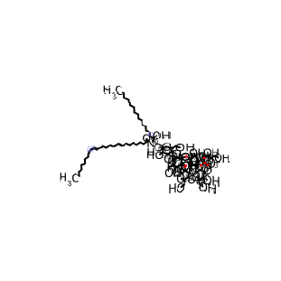 CCCCCCCC/C=C\CCCCCCCCCCCCCC(=O)N[C@@H](CO[C@@H]1OC(CO)[C@@H](O[C@@H]2OC(CO)[C@H](O[C@@H]3OC(CO)[C@H](O)[C@H](O[C@@H]4OC(CO)[C@H](O)[C@H](O[C@@H]5OC(CO)[C@H](O)[C@H](O)C5O[C@H]5OC(C)[C@@H](O)C(O)[C@@H]5O)C4NC(C)=O)C3O)[C@H](O)C2O)[C@H](O)C1O)[C@H](O)/C=C/CCCCCCCCCCCCC